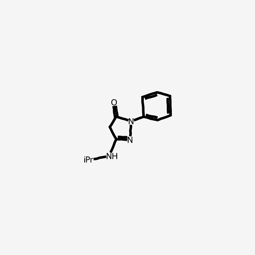 CC(C)NC1=NN(c2ccccc2)C(=O)C1